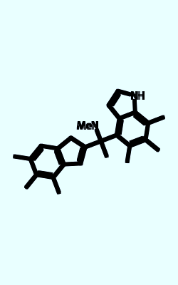 CNC(C)(C1=Cc2c(cc(C)c(C)c2C)C1)c1c(C)c(C)c(C)c2[nH]ccc12